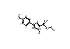 CCOC(=O)c1cc(-c2ccc(OC)cc2)nn1C